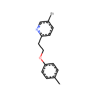 [CH2]c1ccc(OCCc2ccc(CC)cn2)cc1